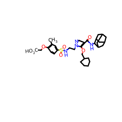 Cc1cc(S(=O)(=O)NCCn2ncc(C(=O)NC3C4CC5CC(C4)CC3C5)c2OCC2CCCCC2)ccc1OCC(=O)O